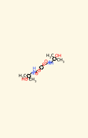 Cc1cc(C=NNC(=O)COc2ccc(OCC(=O)NN=Cc3cc(C)c(O)c(C)c3)cc2)cc(C)c1O